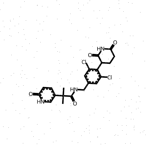 CC(C)(C(=O)NCc1cc(Cl)c(C2CCC(=O)NC2=O)c(Cl)c1)c1ccc(=O)[nH]c1